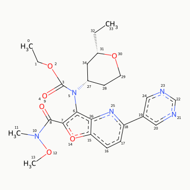 CCOC(=O)N(c1c(C(=O)N(C)OC)oc2ccc(-c3cncnc3)nc12)[C@H]1CCO[C@@H](CC)C1